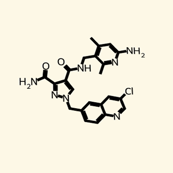 Cc1cc(N)nc(C)c1CNC(=O)c1cn(Cc2ccc3ncc(Cl)cc3c2)nc1C(N)=O